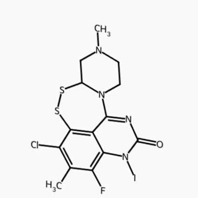 Cc1c(Cl)c2c3c(nc(=O)n(I)c3c1F)N1CCN(C)CC1SS2